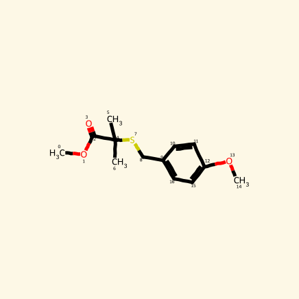 COC(=O)C(C)(C)SCc1ccc(OC)cc1